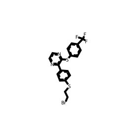 FC(F)(F)c1ccc(Sc2nccnc2-c2ccc(SCCBr)cc2)cc1